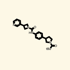 CC(C)(C)C(=O)N1CCC(c2ccc(NC(=O)N3CC(c4cccnc4)C3)cc2)C1